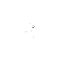 COc1ccc(-c2ccc(C(=O)N3CCNCC3COc3cccnc3)o2)cc1OC.Cl.Cl